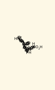 CC(C)NC(=O)CN1CCN(Cc2ccc(-c3cccc(Oc4ncc(F)cc4C(=O)N[C@H]4CC[C@H](NC(=O)O)CC4)c3)c(CN3CCOCC3)c2)CC1